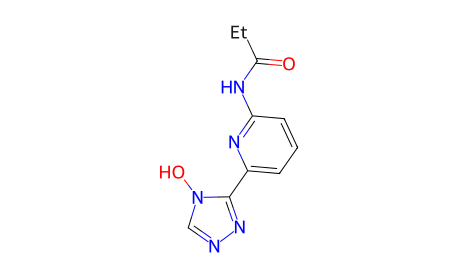 CCC(=O)Nc1cccc(-c2nncn2O)n1